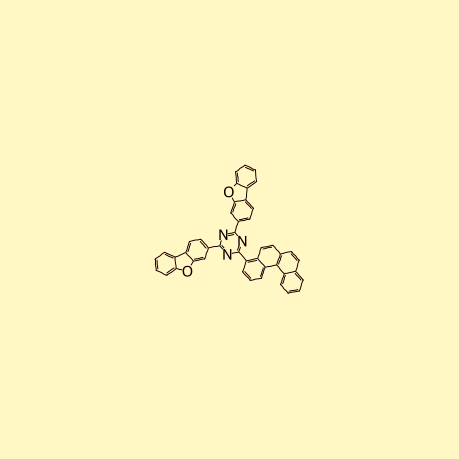 c1ccc2c(c1)ccc1ccc3c(-c4nc(-c5ccc6c(c5)oc5ccccc56)nc(-c5ccc6c(c5)oc5ccccc56)n4)cccc3c12